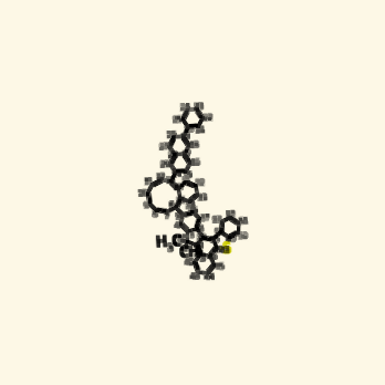 CC1(C)c2cc(-c3ccccccc(-c4ccc5cc(-c6ccccc6)ccc5c4)c4ccccc34)ccc2-c2c1c1ccccc1c1sc3ccccc3c21